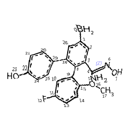 Bc1cc(/C(N)=N/O)c(-c2cc(F)ccc2OC)c(-c2ccc(O)cc2)c1